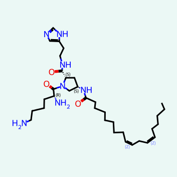 CCCCC/C=C\C/C=C\CCCCCCCC(=O)N[C@H]1C[C@@H](C(=O)NCCc2cnc[nH]2)N(C(=O)[C@H](N)CCCCN)C1